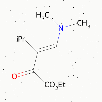 CCOC(=O)C(=O)C(=CN(C)C)C(C)C